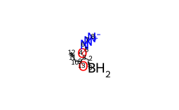 BC1CC(OCN=[N+]=[N-])C(CC#C)O1